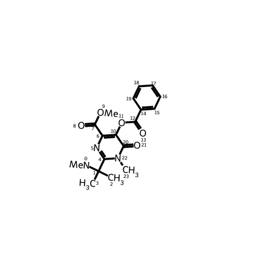 CNC(C)(C)c1nc(C(=O)OC)c(OC(=O)c2ccccc2)c(=O)n1C